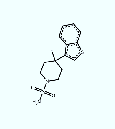 NS(=O)(=O)N1CCC(F)(c2csc3ccccc23)CC1